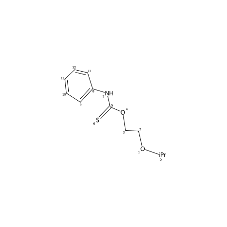 CC(C)OCCOC(=S)Nc1ccccc1